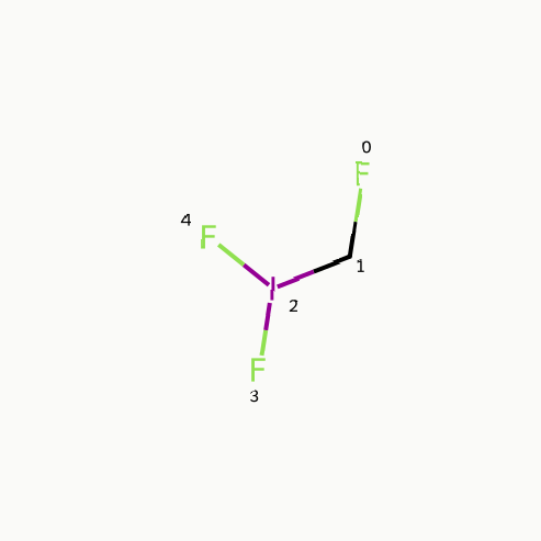 FCI(F)F